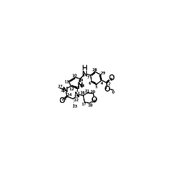 COC(=O)c1ccc(Nc2ccc3c(n2)N(C2CCOCC2)[C@H](C)C(=O)N3C)cc1